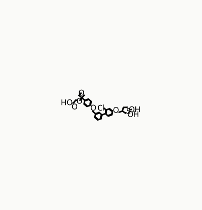 O=C(O)COC1(c2ccc(OCc3cccc(-c4ccc(OCC5CCS(O)(O)C5)cc4Cl)c3)cc2)COC1